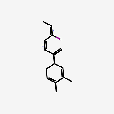 C=C(/C=C\C(I)=C/C)C1C=C(C)C(C)=CC1